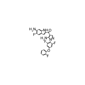 Nc1cc2[nH]c(C(=O)c3cnn(-c4c(F)cc(Oc5ccccc5F)cc4F)c3N)cc2cc1F